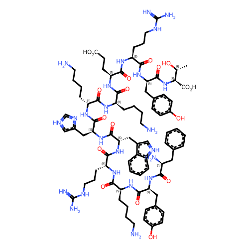 C[C@@H](O)[C@H](NC(=O)[C@@H](Cc1ccc(O)cc1)NC(=O)[C@H](CCCNC(=N)N)NC(=O)[C@H](CCC(=O)O)NC(=O)[C@@H](CCCCN)NC(=O)[C@@H](CCCCN)NC(=O)[C@H](Cc1c[nH]cn1)NC(=O)[C@H](Cc1c[nH]c2ccccc12)NC(=O)[C@@H](CCCNC(=N)N)NC(=O)[C@H](CCCCN)NC(=O)[C@H](Cc1ccc(O)cc1)NC(=O)[C@@H](N)Cc1ccccc1)C(=O)O